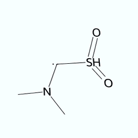 CN(C)[CH][SH](=O)=O